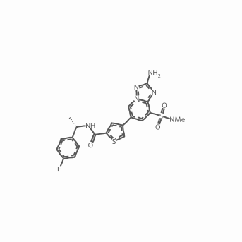 CNS(=O)(=O)c1cc(-c2csc(C(=O)N[C@@H](C)c3ccc(F)cc3)c2)cn2nc(N)nc12